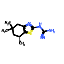 C[C@@H]1CC(C)(C)Cc2nc(NC(=N)N)sc21